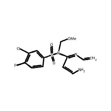 C=C/N=C(\C=C/N)N(COC)S(=O)(=O)c1ccc(F)c(Cl)c1